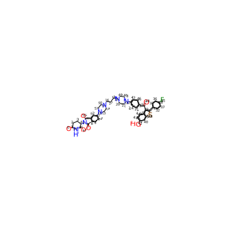 O=C1CCC(N2C(=O)c3ccc(N4CCN(CCCN5CCN(c6ccc(C(=O)c7c(-c8ccc(F)cc8)sc8cc(O)ccc78)cc6)CC5)CC4)cc3C2=O)C(=O)N1